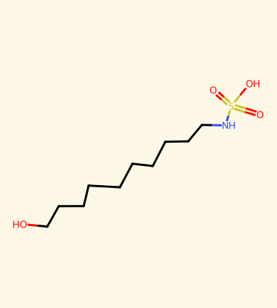 O=S(=O)(O)NCCCCCCCCCCO